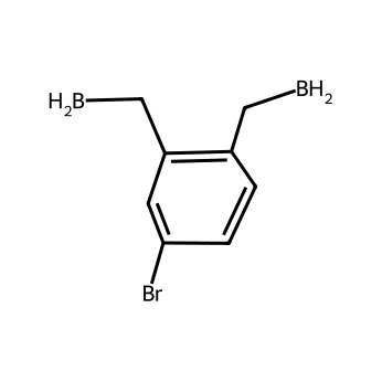 BCc1ccc(Br)cc1CB